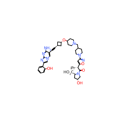 CC(C)[C@@H](C(=O)N1C[C@H](O)C[C@H]1C(=O)O)c1cc(N2CCC(CN3CCC(O[C@H]4C[C@H](C#Cc5cn6cc(-c7ccccc7O)nc6nc5N)C4)CC3)CC2)no1